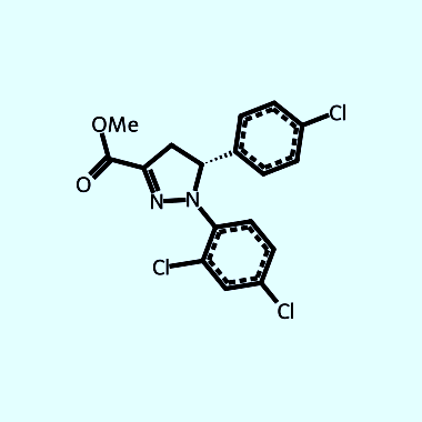 COC(=O)C1=NN(c2ccc(Cl)cc2Cl)[C@@H](c2ccc(Cl)cc2)C1